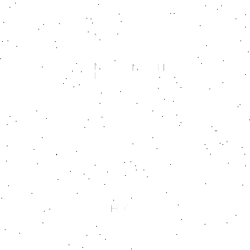 CCCCCCCCCN(C)Cc1ncc[nH]1